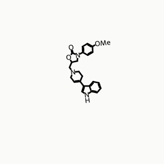 COc1ccc(N2CC(CN3CC=C(c4c[nH]c5ccccc45)CC3)OC2=O)cc1